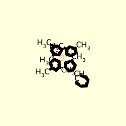 Cc1ccc([B-](c2ccc(C)cc2C)(c2ccc(C)cc2C)c2ccc(C)cc2C)c(C)c1.c1ccc[cH+]cc1